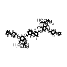 Cc1c(COc2cc(OCc3ccc(-n4cccn4)nc3)c(CN(C)C(C)(C)C(=O)O)cc2Cl)cccc1-c1cccc(COc2cc(OCc3ccc(-n4cccn4)nc3)c(CN(C)C(C)(C)C(=O)O)cc2Cl)c1C